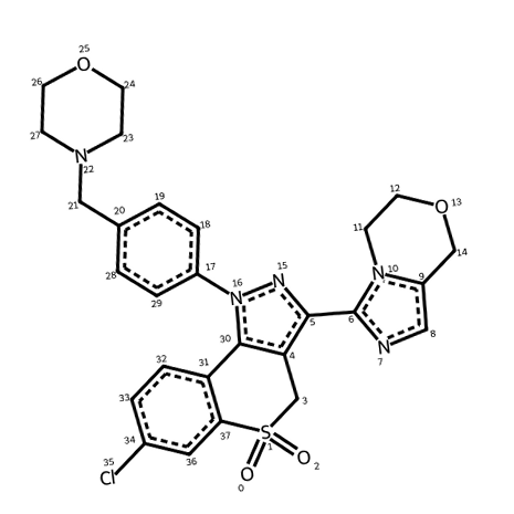 O=S1(=O)Cc2c(-c3ncc4n3CCOC4)nn(-c3ccc(CN4CCOCC4)cc3)c2-c2ccc(Cl)cc21